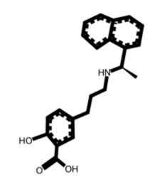 C[C@@H](NCCCc1ccc(O)c(C(=O)O)c1)c1cccc2ccccc12